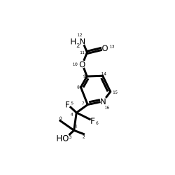 CC(C)(O)C(F)(F)c1cc(OC(N)=O)ccn1